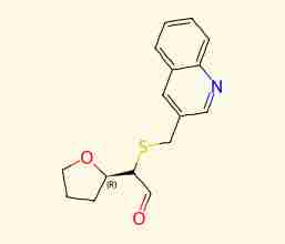 O=CC(SCc1cnc2ccccc2c1)[C@H]1CCCO1